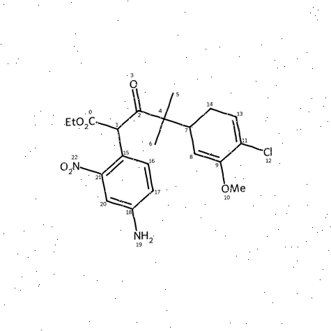 CCOC(=O)C(C(=O)C(C)(C)C1C=C(OC)C(Cl)=CC1)c1ccc(N)cc1[N+](=O)[O-]